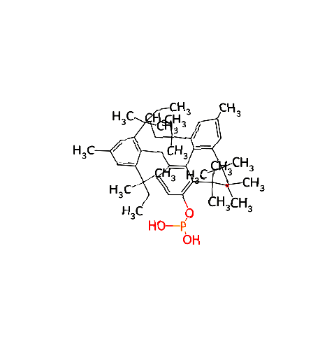 CCC(C)(C)c1cc(C)cc(C(C)(C)CC)c1Cc1ccc(OP(O)O)c(C(C)(C)CC)c1-c1c(C(C)(C)CC)cc(C)cc1C(C)(C)CC